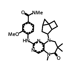 CNC(=O)c1ccc(Nc2ncc3c(n2)N(C2CC4CC45CCC25)CC(C)(C)C(=O)N3C)c(OC)c1